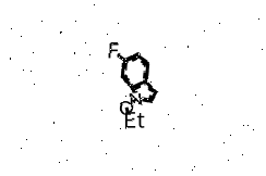 CCOn1ccc2ccc(F)cc21